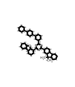 CC1(C)c2ccccc2-c2ccc(-c3nc(-c4cccc(-c5ccc(-c6ccccc6)cc5)c4)nc(-c4cccc5c4oc4ccccc45)n3)cc21